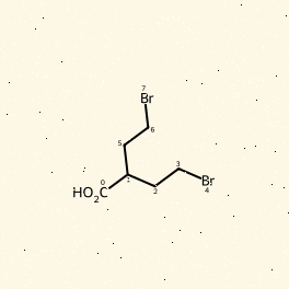 O=C(O)C(CCBr)CCBr